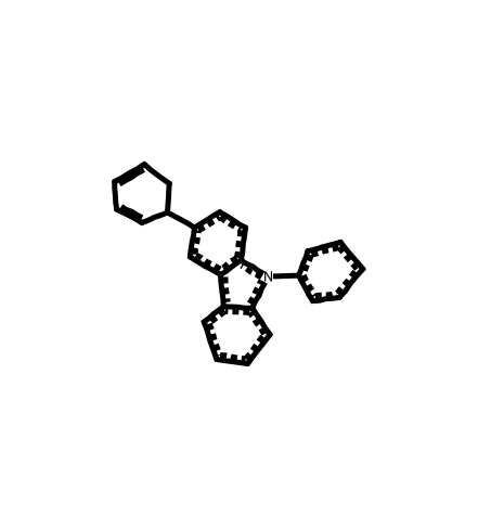 C1=CCC(c2ccc3c(c2)c2ccccc2n3-c2ccccc2)C=C1